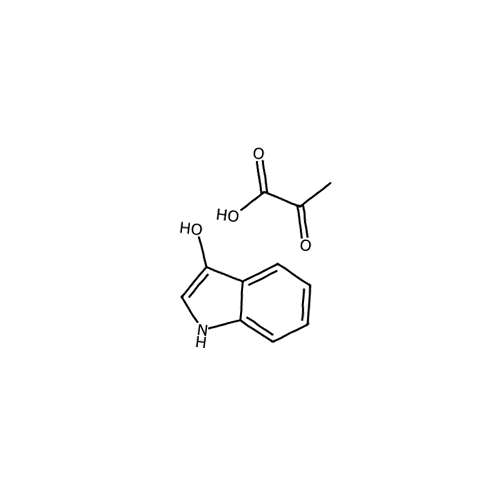 CC(=O)C(=O)O.Oc1c[nH]c2ccccc12